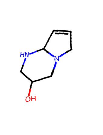 OC1CNC2C=CCN2C1